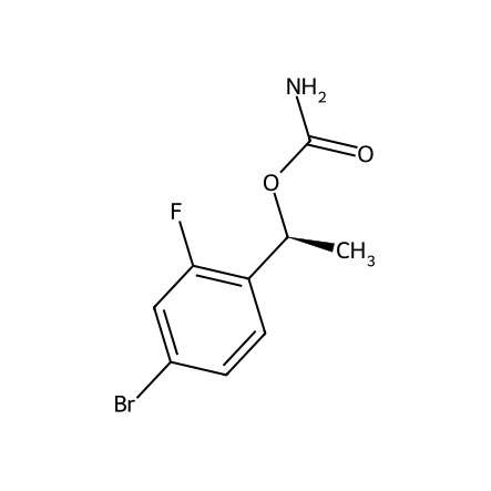 C[C@H](OC(N)=O)c1ccc(Br)cc1F